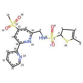 CC1=CCC(S(=O)(=O)NCc2cc(S(C)(=O)=O)cc(-c3ccccn3)n2)S1